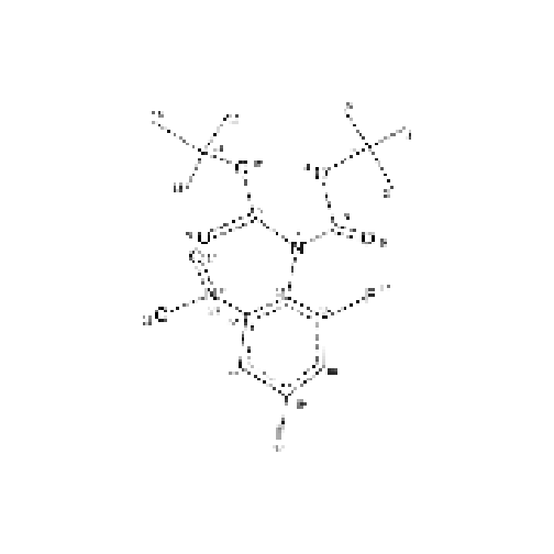 CC(C)(C)OC(=O)N(C(=O)OC(C)(C)C)c1c(F)cc(F)cc1[N+](=O)[O-]